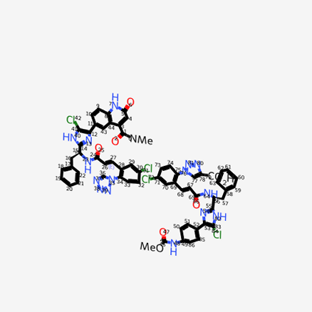 CNC(=O)c1cc(=O)[nH]c2ccc(-c3nc([C@H](Cc4ccccc4)NC(=O)/C=C/c4cc(Cl)ccc4-n4cnnn4)[nH]c3Cl)cc12.COC(=O)Nc1ccc(-c2nc([C@H](Cc3ccccc3)NC(=O)C=Cc3cc(Cl)ccc3-n3cc(C(=O)O)nn3)[nH]c2Cl)cc1